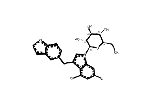 OC[C@H]1O[C@@H](n2cc(Cc3ccc4occc4c3)c3c(Cl)cc(Cl)cc32)[C@H](O)[C@@H](O)[C@@H]1O